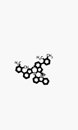 Cc1cccc(-c2cccc3c2C=C(C(C)C)[CH]3[Zr]([c]2cccc3c2[SiH2]c2ccccc2-3)[CH]2C(C(C)C)=Cc3c(-c4cccc(C)c4C)cccc32)c1C